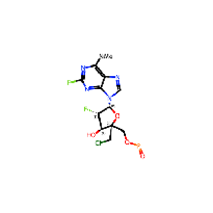 CNc1nc(F)nc2c1ncn2[C@@H]1O[C@](CCl)(COP=O)[C@@H](O)[C@@H]1F